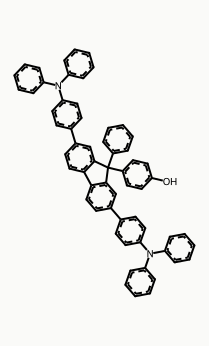 Oc1ccc(C2(c3ccccc3)c3cc(-c4ccc(N(c5ccccc5)c5ccccc5)cc4)ccc3-c3ccc(-c4ccc(N(c5ccccc5)c5ccccc5)cc4)cc32)cc1